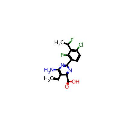 C=Cc1c(N)nc(-c2ccc(Cl)c(C(C)F)c2F)nc1C(=O)O